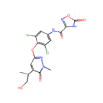 CC(CO)c1cc(Oc2c(Cl)cc(NC(=O)c3noc(=O)[nH]3)cc2Cl)nn(C)c1=O